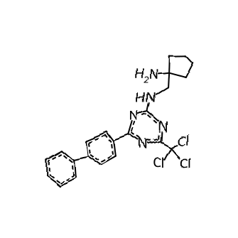 NC1(CNc2nc(-c3ccc(-c4ccccc4)cc3)nc(C(Cl)(Cl)Cl)n2)CCCC1